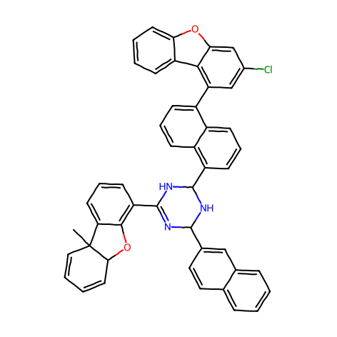 CC12C=CC=CC1Oc1c(C3=NC(c4ccc5ccccc5c4)NC(c4cccc5c(-c6cc(Cl)cc7oc8ccccc8c67)cccc45)N3)cccc12